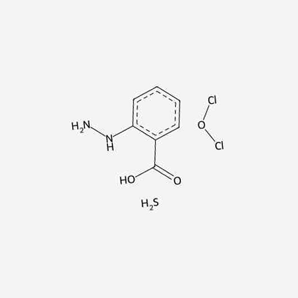 ClOCl.NNc1ccccc1C(=O)O.S